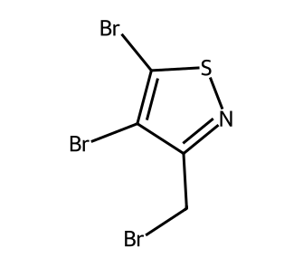 BrCc1nsc(Br)c1Br